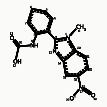 Cn1c(-c2ccccc2NC(=O)O)nc2cc([N+](=O)[O-])ccc21